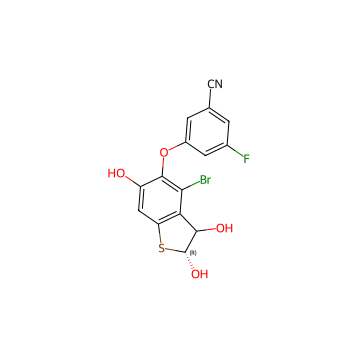 N#Cc1cc(F)cc(Oc2c(O)cc3c(c2Br)C(O)[C@H](O)S3)c1